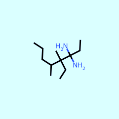 CCCC(C)C(C)(CC)C(N)(N)CC